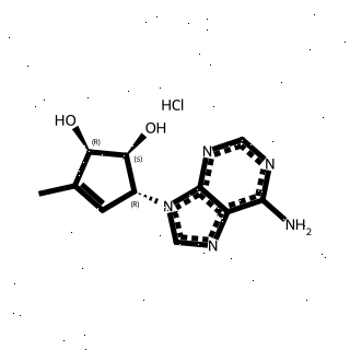 CC1=C[C@@H](n2cnc3c(N)ncnc32)[C@H](O)[C@@H]1O.Cl